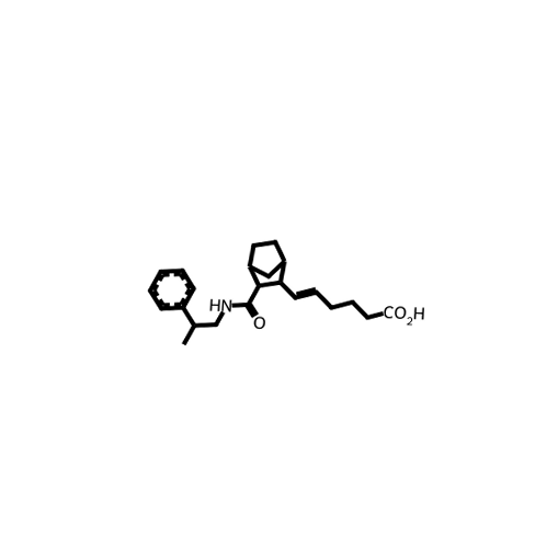 CC(CNC(=O)C1C2CCC(C2)C1C=CCCCC(=O)O)c1ccccc1